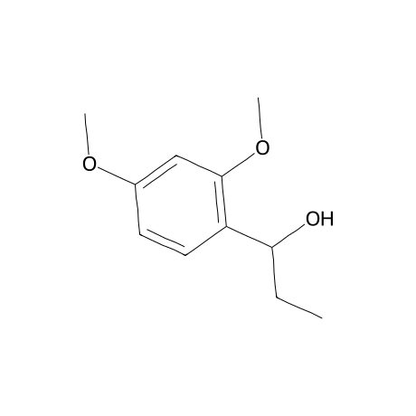 CCC(O)c1ccc(OC)cc1OC